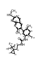 CNc1ncc2cc(-c3cc(NC(=O)NCCC4(C(F)(F)F)CC4)c(F)cc3C)c(C)nc2n1